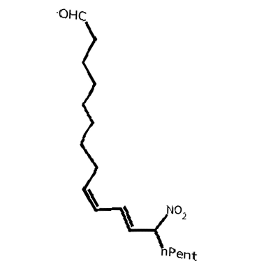 CCCCCC(/C=C/C=C\CCCCCCC[C]=O)[N+](=O)[O-]